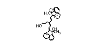 CC1(C)C(/C=C/C(=C/C=C2/N3CCCc4cccc(c43)C2(C)C)CCCO)=[N+]2CCCc3cccc1c32